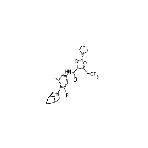 O=C(Nc1cc(F)c(N2CC3CC(C3)C2)c(F)c1)c1nc(N2CCCC2)oc1CC(F)(F)F